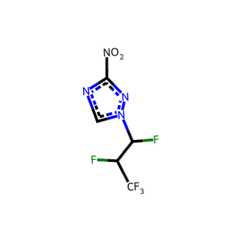 O=[N+]([O-])c1ncn(C(F)C(F)C(F)(F)F)n1